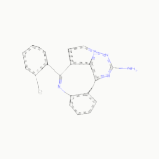 CCc1ccccc1C1=Nc2ccccc2-c2nc(N)nn3ccc1c23